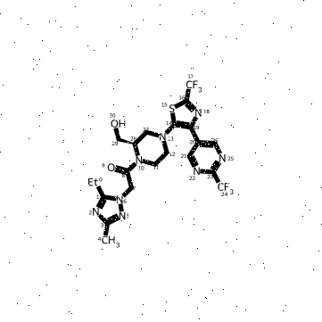 CCc1nc(C)nn1CC(=O)N1CCN(c2sc(C(F)(F)F)nc2-c2cnc(C(F)(F)F)nc2)C[C@@H]1CO